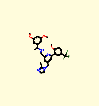 COc1cc(OC)cc(C(C)NCc2cc(Cn3ccnc3C)cc(-c3cc(C(F)(F)F)ccc3OC)n2)c1